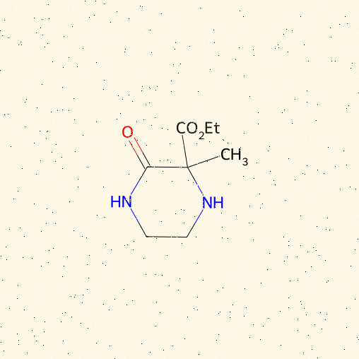 CCOC(=O)C1(C)NCCNC1=O